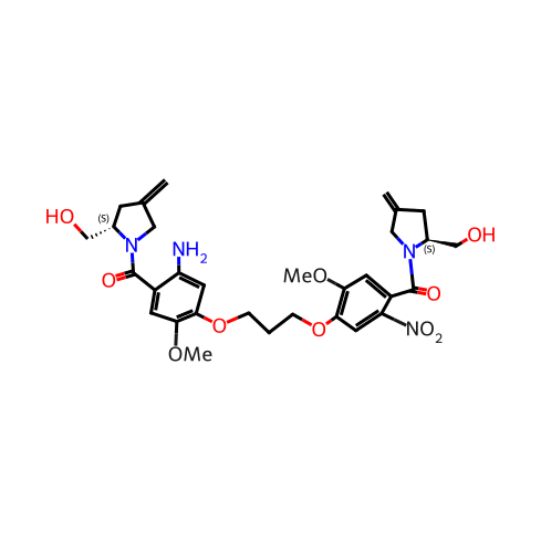 C=C1C[C@@H](CO)N(C(=O)c2cc(OC)c(OCCCOc3cc([N+](=O)[O-])c(C(=O)N4CC(=C)C[C@H]4CO)cc3OC)cc2N)C1